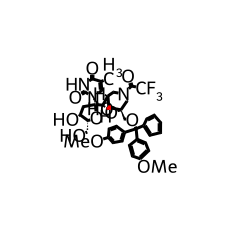 COc1ccc(C(OC[C@@]23CN(C(=O)C(F)(F)F)C[C@@H]([C@H]([C@]4(n5cc(C)c(=O)[nH]c5=O)C[C@H](O)[C@@H](CO)O4)O2)[C@@H]3O)(c2ccccc2)c2ccc(OC)cc2)cc1